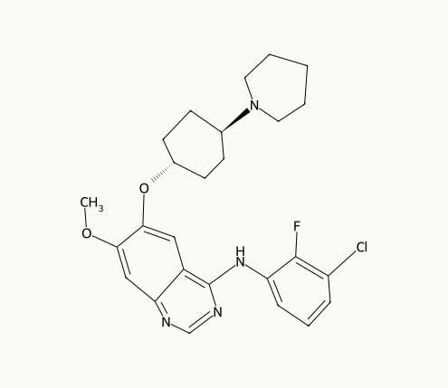 COc1cc2ncnc(Nc3cccc(Cl)c3F)c2cc1O[C@H]1CC[C@H](N2CCCCC2)CC1